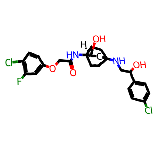 O=C(COc1ccc(Cl)c(F)c1)NC12CCC(NCC(O)c3ccc(Cl)cc3)(CC1)C[C@@H]2O